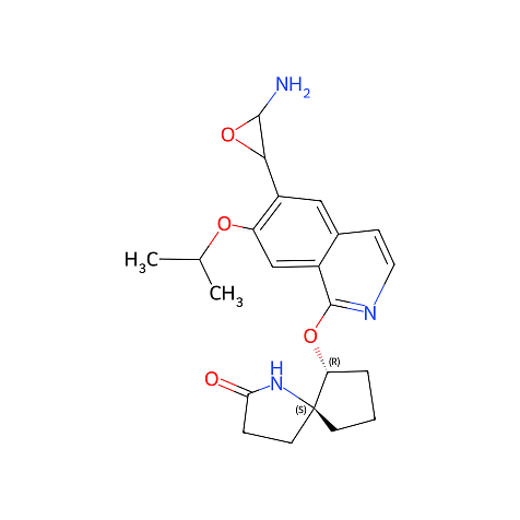 CC(C)Oc1cc2c(O[C@@H]3CCC[C@]34CCC(=O)N4)nccc2cc1C1OC1N